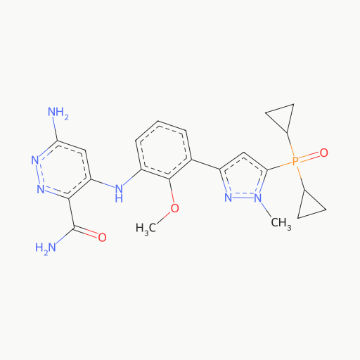 COc1c(Nc2cc(N)nnc2C(N)=O)cccc1-c1cc(P(=O)(C2CC2)C2CC2)n(C)n1